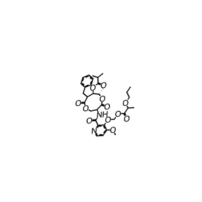 CCCOC(C)C(=O)OCOc1c(OC)ccnc1C(=O)N[C@H]1COC(=O)C(Cc2ccccc2)[C@@H](OC(=O)C(C)C)[C@H](C)OC1=O